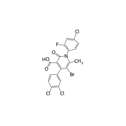 Cc1c(Br)c(-c2ccc(Cl)c(Cl)c2)c(C(=O)O)c(=O)n1-c1ccc(Cl)cc1F